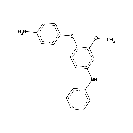 COc1cc(Nc2ccccc2)ccc1Sc1ccc(N)cc1